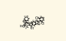 CCC(c1ccc(NC(=O)c2c(Cl)cncc2Cl)cn1)[C@H](NC1=C(Br)OC12CCCCC2)C(=O)O